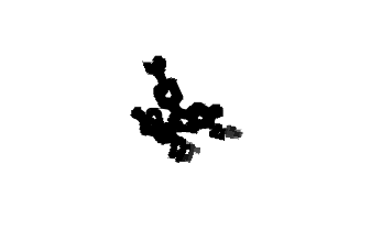 CC1=C2c3cc(C)oc3C1[Si]2(C)C.CC1=Cc2c(-c3ccc(C(C)C)cc3)cccc2[CH]1[Zr+2].[Cl-].[Cl-]